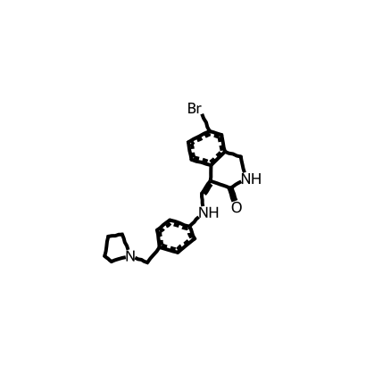 O=C1NCc2cc(Br)ccc2C1=CNc1ccc(CN2CCCC2)cc1